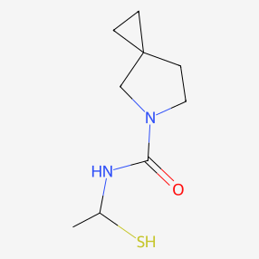 CC(S)NC(=O)N1CCC2(CC2)C1